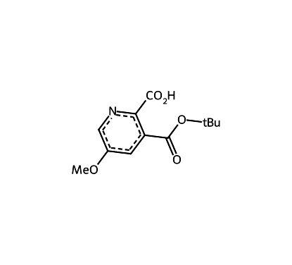 COc1cnc(C(=O)O)c(C(=O)OC(C)(C)C)c1